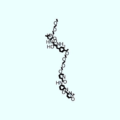 CCOCCOCCNC(=O)[C@H](CC(C)C)NC(=O)[C@@H](O)[C@H](N)Cc1ccc(C(C)OCCOCCOCCOc2ccc(C(=O)Nc3ccc4oc(-c5ccc(=O)n(C)n5)nc4c3)nc2)cc1